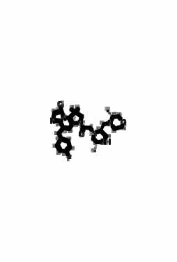 C[C@@H]1CN(CC(=O)N2CC(C)(C)c3c2cc(Cc2ccc(F)cc2)c2ncc(Cl)n32)[C@@H](CN2CCOC[C@H]2C)CN1